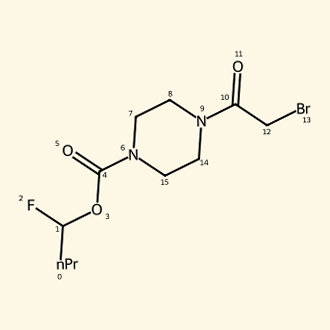 CCCC(F)OC(=O)N1CCN(C(=O)CBr)CC1